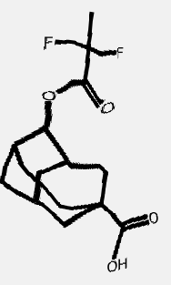 CC(F)(F)C(=O)OC1C2CC3CC1CC(C(=O)O)(C3)C2